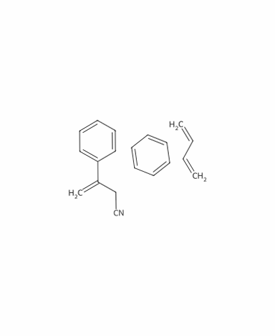 C=C(CC#N)c1ccccc1.C=CC=C.c1ccccc1